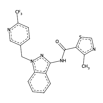 Cc1ncsc1C(=O)Nc1nn(Cc2ccc(C(F)(F)F)nc2)c2ccccc12